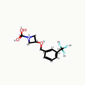 O=C(O)N1CC(OCc2cccc(C(F)(F)F)c2)C1